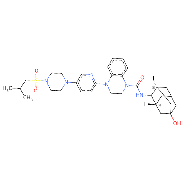 CC(C)CS(=O)(=O)N1CCN(c2ccc(N3CCN(C(=O)NC4[C@@H]5CC6C[C@H]4CC(O)(C6)C5)c4ccccc43)nc2)CC1